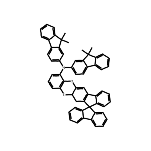 CC1(C)c2ccccc2-c2ccc(N(c3ccc4c(c3)C(C)(C)c3ccccc3-4)c3cccc4c3OC3=CC5=C(CC3O4)C3(c4ccccc45)c4ccccc4-c4ccccc43)cc21